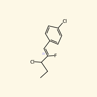 CCC(Cl)/C(F)=C/c1ccc(Cl)cc1